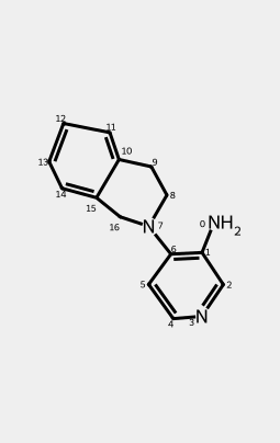 Nc1cnccc1N1CCc2ccccc2C1